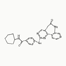 O=C1Cc2cnc(Nc3ccc(C(=O)NC4CCCCC4)cc3)nc2-c2ccccc2N1